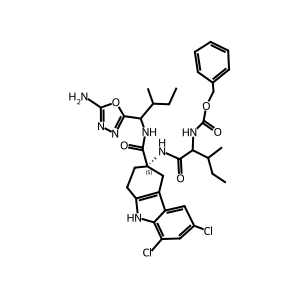 CCC(C)C(NC(=O)OCc1ccccc1)C(=O)N[C@@]1(C(=O)NC(c2nnc(N)o2)C(C)CC)CCc2[nH]c3c(Cl)cc(Cl)cc3c2C1